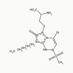 CCC1=CN(S(C)(=O)=O)Nc2nc(=O)n(SCC(N)C(=O)O)n21.O.O.O.O.O